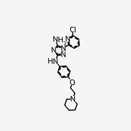 Nc1nc(Nc2ccc(OCCN3CCCCC3)cc2)nn1-c1cccc(Cl)n1